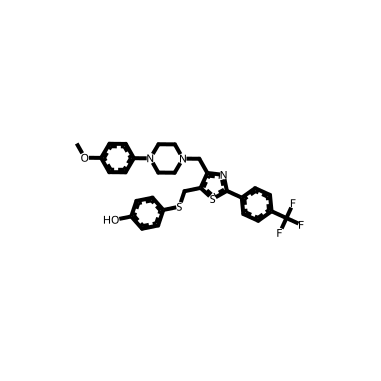 COc1ccc(N2CCN(Cc3nc(-c4ccc(C(F)(F)F)cc4)sc3CSc3ccc(O)cc3)CC2)cc1